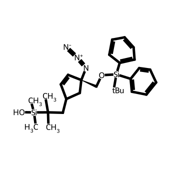 CC(C)(CC1C=C[C@](CO[Si](c2ccccc2)(c2ccccc2)C(C)(C)C)(N=[N+]=[N-])C1)[Si](C)(C)O